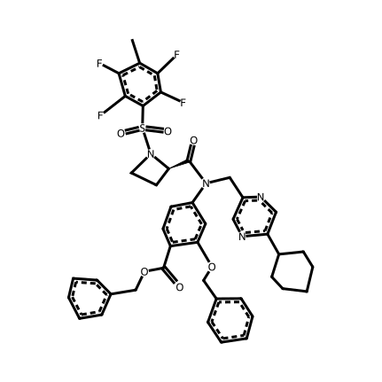 Cc1c(F)c(F)c(S(=O)(=O)N2CC[C@@H]2C(=O)N(Cc2cnc(C3CCCCC3)cn2)c2ccc(C(=O)OCc3ccccc3)c(OCc3ccccc3)c2)c(F)c1F